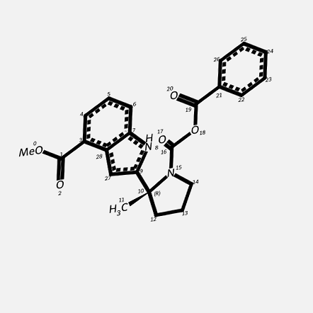 COC(=O)c1cccc2[nH]c([C@@]3(C)CCCN3C(=O)OC(=O)c3ccccc3)cc12